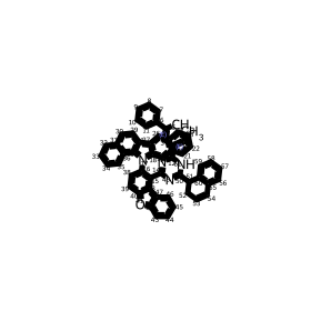 C/C=C(\C=C(/C)c1ccccc1)C1N=C(c2c(-n3c4cc5ccccc5cc4c4ccc5ccccc5c43)ccc3oc4ccccc4c23)N=C(C2CC=Cc3ccccc32)N1